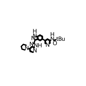 CC(C)(C)C(=O)Nc1cncc(-c2ccc3[nH]nc(-c4nc5c(N6CCCCC6)ccnc5[nH]4)c3c2)c1